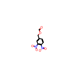 O=[C]OCc1ccc([N+](=O)[O-])c([N+](=O)[O-])c1